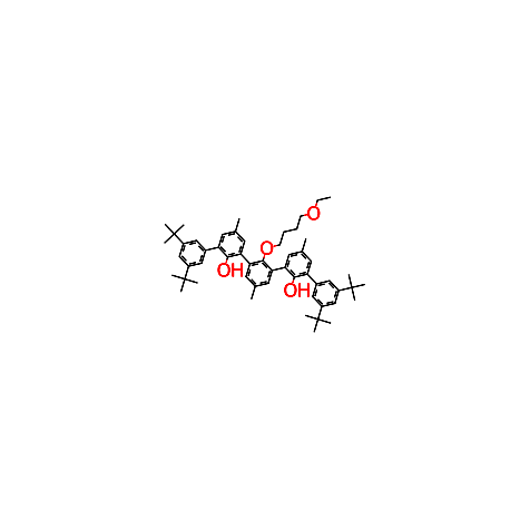 CCOCCCCOc1c(-c2cc(C)cc(-c3cc(C(C)(C)C)cc(C(C)(C)C)c3)c2O)cc(C)cc1-c1cc(C)cc(-c2cc(C(C)(C)C)cc(C(C)(C)C)c2)c1O